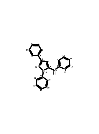 c1ccc(-c2cc(Nc3ccccn3)n(-c3ccccc3)n2)cc1